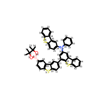 CC1(C)OB(c2ccc3sc4ccc(-c5cc(N(c6ccccc6)c6ccc7sc8ccccc8c7c6)cc6c5sc5ccccc56)cc4c3c2)OC1(C)C